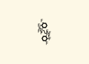 Fc1cccc(P(F)(F)(F)CCP(F)(F)(F)c2cccc(F)c2F)c1F